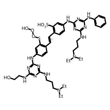 CCN(CC)CCCNc1nc(NCCO)nc(Nc2ccc(/C=C/c3ccc(Nc4nc(NCCCN(CC)CC)nc(Nc5ccccc5)n4)cc3S(=O)(=O)O)c(SOOO)c2)n1